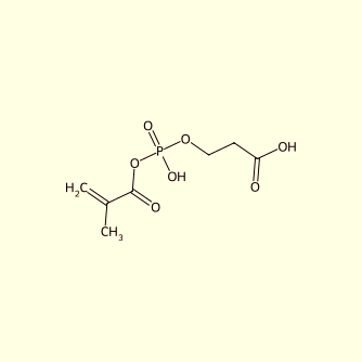 C=C(C)C(=O)OP(=O)(O)OCCC(=O)O